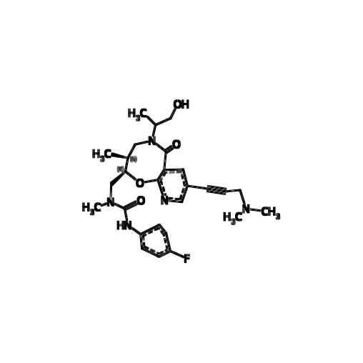 CC(CO)N1C[C@H](C)[C@H](CN(C)C(=O)Nc2ccc(F)cc2)Oc2ncc(C#CCN(C)C)cc2C1=O